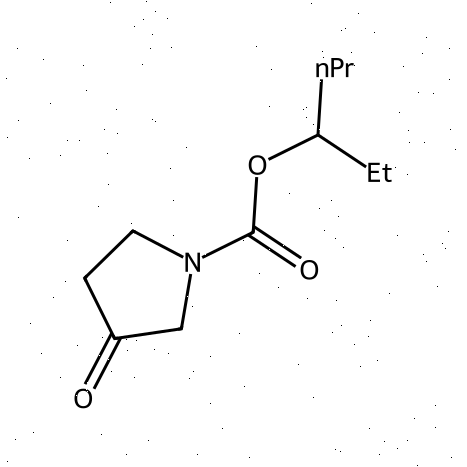 CCCC(CC)OC(=O)N1CCC(=O)C1